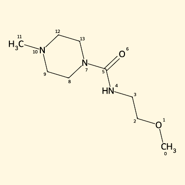 COCCNC(=O)N1CCN(C)CC1